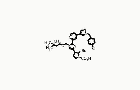 CC(C)(C)C1C(c2cn(COCC[Si](C)(C)C)c(-c3cc(-c4cnn(Cc5ccc(Cl)cc5)c4)ccn3)n2)CCN1C(=O)O